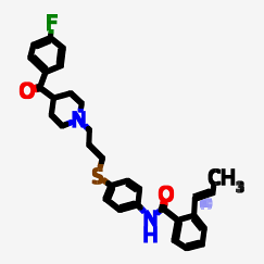 C/C=C/c1ccccc1C(=O)Nc1ccc(SCCCN2CCC(C(=O)c3ccc(F)cc3)CC2)cc1